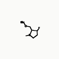 CN1CCC(F)C1COC(C)(C)C